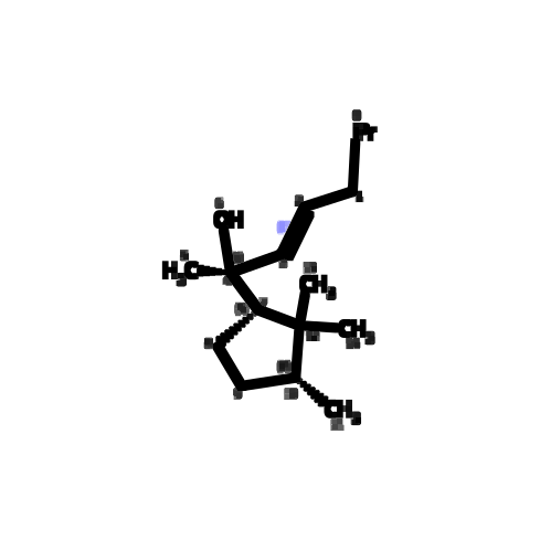 CC(C)C/C=C/[C@](C)(O)[C@H]1CC[C@@H](C)C1(C)C